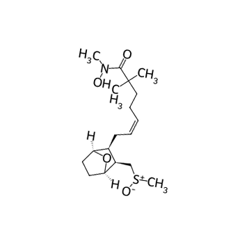 CN(O)C(=O)C(C)(C)CC/C=C\C[C@H]1[C@@H](C[S+](C)[O-])[C@H]2CC[C@@H]1O2